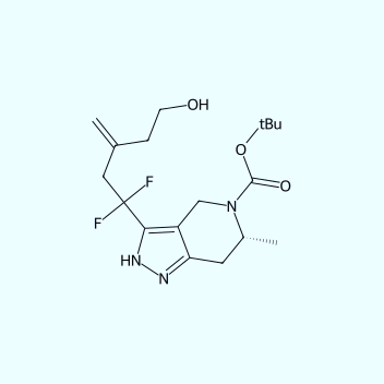 C=C(CCO)CC(F)(F)c1[nH]nc2c1CN(C(=O)OC(C)(C)C)[C@H](C)C2